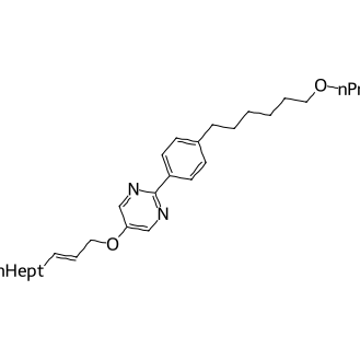 CCCCCCC/C=C/COc1cnc(-c2ccc(CCCCCCOCCC)cc2)nc1